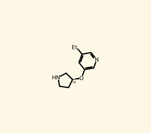 CCc1cncc(O[C@H]2CCNC2)c1